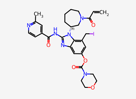 C=CC(=O)N1CCCC[C@@H](n2c(NC(=O)c3ccnc(C)c3)nc3cc(OC(=O)N4CCOCC4)cc(CI)c32)C1